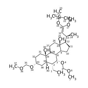 CC[C@H]1[C@@H](OCOC)C2C3CC[C@H]([C@H](C)/C=C(\OC)O[Si](C)(C)C)[C@@]3(C)CCC2[C@@]2(C)CC[C@@H](OCOC)C[C@@H]12